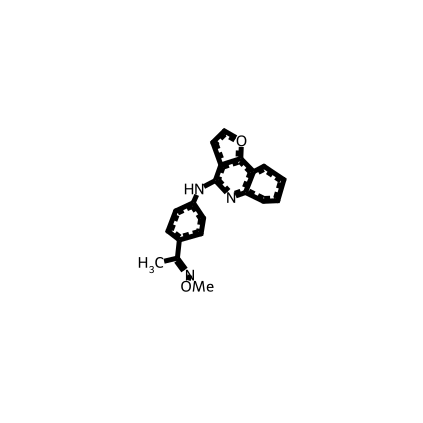 CON=C(C)c1ccc(Nc2nc3ccccc3c3occc23)cc1